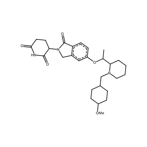 COC1CCC(CN2CCCCC2C(C)Oc2ccc3c(c2)CN(C2CCC(=O)NC2=O)C3=O)CC1